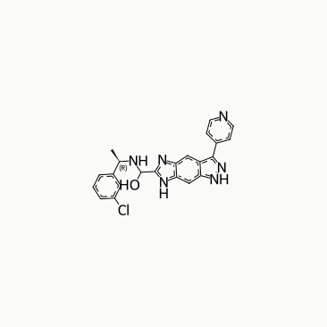 C[C@@H](NC(O)c1nc2cc3c(-c4ccncc4)n[nH]c3cc2[nH]1)c1cccc(Cl)c1